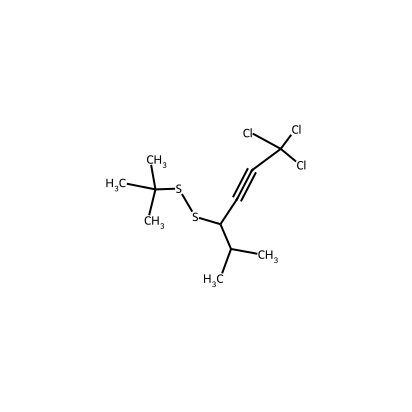 CC(C)C(C#CC(Cl)(Cl)Cl)SSC(C)(C)C